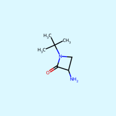 CC(C)(C)N1CC(N)C1=O